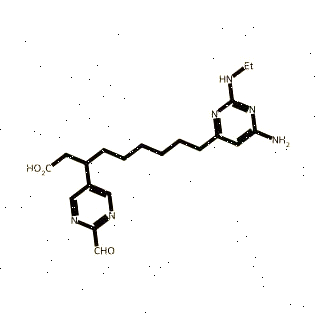 CCNc1nc(N)cc(CCCCCCC(CC(=O)O)c2cnc(C=O)nc2)n1